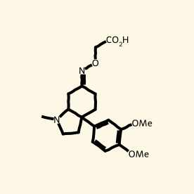 COc1ccc(C23CCC(=NOCC(=O)O)CC2N(C)CC3)cc1OC